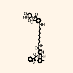 Cc1ccccc1Nc1ncc(C(=O)NCCCCCCCCCNc2ccc3c(c2)C(=O)N(C2CCC(=O)NC2=O)C3=O)cc1NC(=O)c1csc2ccccc12